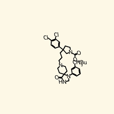 Cc1cccc(N2CNC(=O)C23CCN(CCCC2(c4ccc(Cl)c(Cl)c4)CCN(C(=O)OC(C)(C)C)C2)CC3)c1